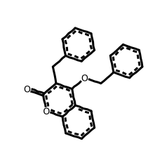 O=c1oc2ccccc2c(OCc2ccccc2)c1Cc1ccccc1